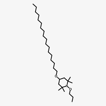 CCCCCCCCCCCCCCCCCCOC1CC(C)(C)N(OCCC)C(C)(C)C1